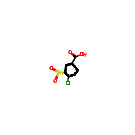 O=C(O)c1ccc(Cl)c([SH](=O)=O)c1